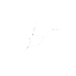 CCCC1CN([C@@H](CC)C(N)=O)C(=O)C1C(=O)O